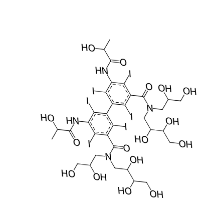 CC(O)C(=O)Nc1c(I)c(C(=O)N(CC(O)CO)CC(O)C(O)CO)c(I)c(-c2c(I)c(NC(=O)C(C)O)c(I)c(C(=O)N(CC(O)CO)CC(O)C(O)CO)c2I)c1I